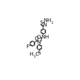 CSc1ccc(N(CC(=O)Nc2ccc(-c3csc(N)n3)cc2)C(=O)c2ccc(F)cc2)cc1